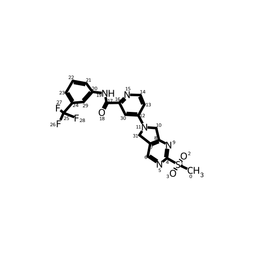 CS(=O)(=O)c1ncc2c(n1)CN(c1ccnc(C(=O)Nc3cccc(C(F)(F)F)c3)c1)C2